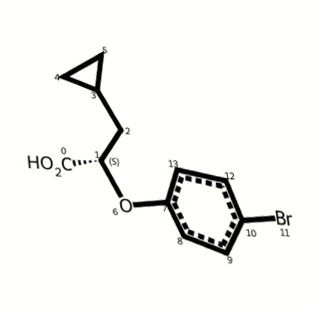 O=C(O)[C@H](CC1CC1)Oc1ccc(Br)cc1